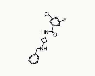 O=C(N[C@H]1C[C@H](NCc2ccccc2)C1)c1cc(F)cc(Cl)c1